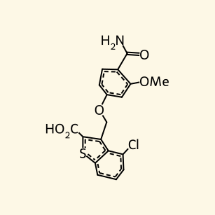 COc1cc(OCc2c(C(=O)O)sc3cccc(Cl)c23)ccc1C(N)=O